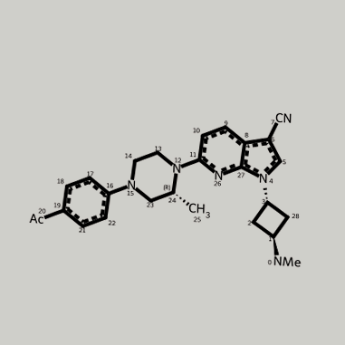 CN[C@H]1C[C@H](n2cc(C#N)c3ccc(N4CCN(c5ccc(C(C)=O)cc5)C[C@H]4C)nc32)C1